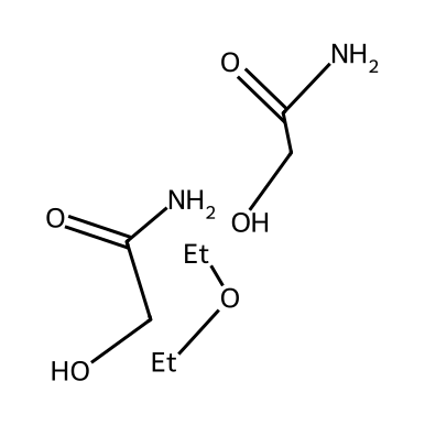 CCOCC.NC(=O)CO.NC(=O)CO